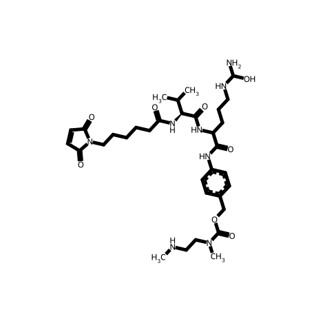 CNCCN(C)C(=O)OCc1ccc(NC(=O)C(CCCNC(N)O)NC(=O)[C@@H](NC(=O)CCCCCN2C(=O)C=CC2=O)C(C)C)cc1